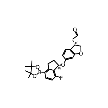 CC1(C)OB(c2ccc(F)c3c2CC[C@H]3Oc2ccc3c(c2)OC[C@H]3CC=O)OC1(C)C